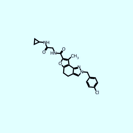 Cc1c(C(=O)NCC(=O)NC2CC2)oc2c1-c1nn(Cc3ccc(Cl)cc3)cc1CC2